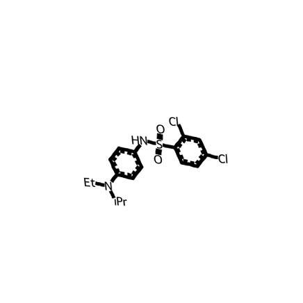 CCN(c1ccc(NS(=O)(=O)c2ccc(Cl)cc2Cl)cc1)C(C)C